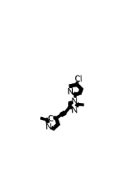 Cc1cc(C#Cc2cn(-c3ccc(Cl)cn3)c(C)n2)ccn1